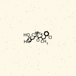 CCCSC(C(=O)NC(Cc1c[nH]cn1)C(=O)O)C(C)Cc1ccccc1Cl